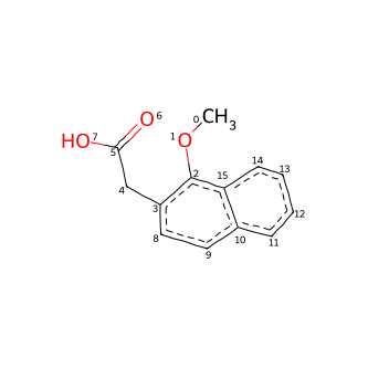 COc1c(CC(=O)O)ccc2ccccc12